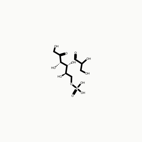 O=C(CO)[C@@H](O)[C@H](O)[C@H](O)COP(=O)(O)O.O=CC(O)CO